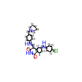 O=C1NC(=O)c2ccc(Nc3ccc(Cl)cc3)cc2/C1=C/Nc1ccc(CN2CCCCC2)cc1